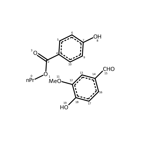 CCCOC(=O)c1ccc(O)cc1.COc1cc(C=O)ccc1O